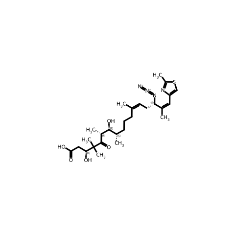 CC(=CC[C@H](N=[N+]=[N-])C(C)=Cc1csc(C)n1)CCC[C@H](C)[C@H](O)[C@@H](C)C(=O)C(C)(C)[C@@H](O)CC(=O)O